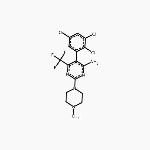 CN1CCN(c2nc(N)c(-c3cc(Cl)cc(Cl)c3Cl)c(C(F)(F)F)n2)CC1